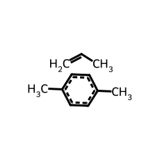 C=CC.Cc1ccc(C)cc1